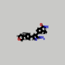 CC1(C)CNC(=O)c2ccc(-c3cc(-c4ccc(C5(C#N)CCOCC5)cc4)cnc3N)cc21